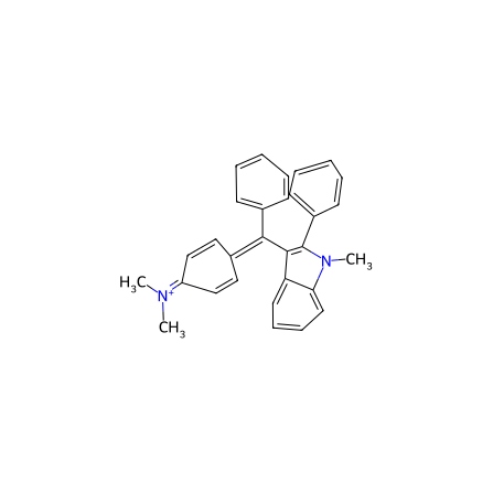 Cn1c(-c2ccccc2)c(C(=C2C=CC(=[N+](C)C)C=C2)c2ccccc2)c2ccccc21